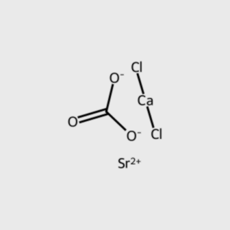 O=C([O-])[O-].[Cl][Ca][Cl].[Sr+2]